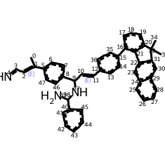 C/C(=C\C=N)c1ccc(C(/C=C/c2ccc(-c3cccc4c3-c3cc5ccccc5cc3C4(C)C)cc2)NC(N)c2ccccc2)cc1